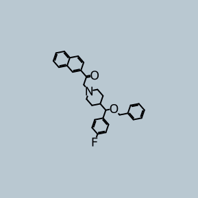 O=C(CN1CCC(C(OCc2ccccc2)c2ccc(F)cc2)CC1)c1ccc2ccccc2c1